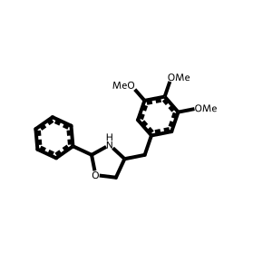 COc1cc(CC2COC(c3ccccc3)N2)cc(OC)c1OC